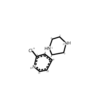 C1CNCCN1.Clc1ccccn1